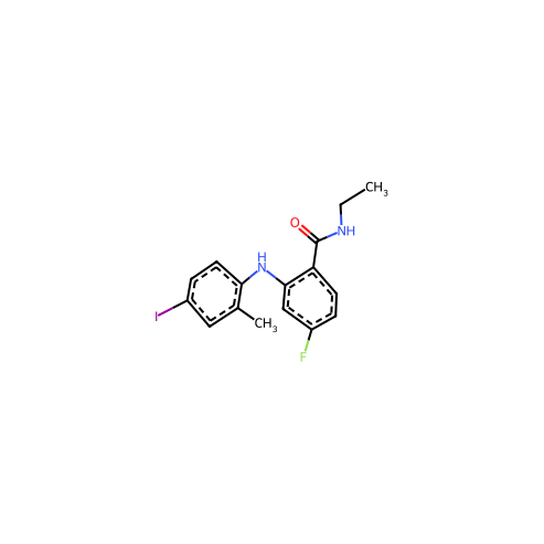 CCNC(=O)c1ccc(F)cc1Nc1ccc(I)cc1C